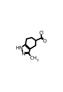 Cc1n[nH]c2c1CC(C(=O)Cl)CC2